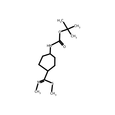 CN=C(SC)C1CCC(NC(=O)OC(C)(C)C)CC1